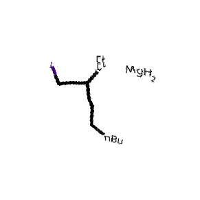 CCCCCCC(CC)CI.[MgH2]